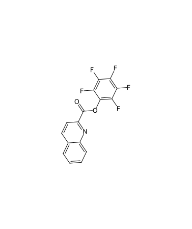 O=C(Oc1c(F)c(F)c(F)c(F)c1F)c1ccc2ccccc2n1